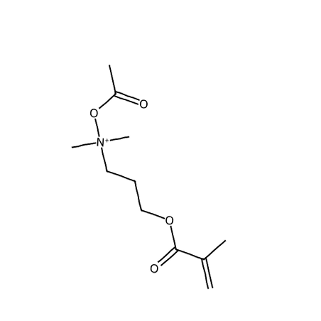 C=C(C)C(=O)OCCC[N+](C)(C)OC(C)=O